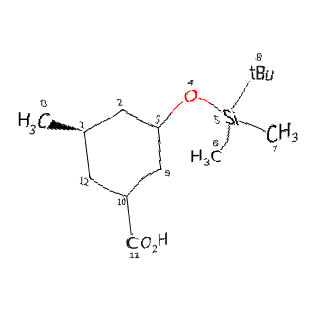 C[C@H]1CC(O[Si](C)(C)C(C)(C)C)CC(C(=O)O)C1